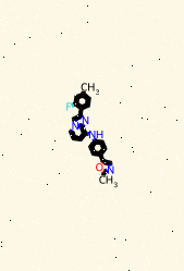 Cc1ccc(-c2cn3cccc(Nc4ccc(-c5cnc(C)o5)cc4)c3n2)c(F)c1